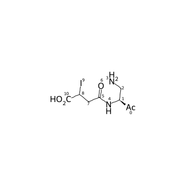 CC(=O)[C@H](CN)NC(=O)CC(I)C(=O)O